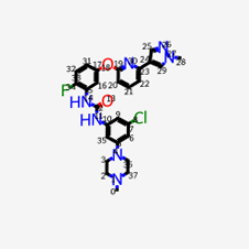 CN1CCN(c2cc(Cl)cc(NC(=O)Nc3cc(Oc4cccc(-c5cnn(C)c5)n4)ccc3F)c2)CC1